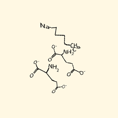 CCCC[CH2][Na].NC(CCC(=O)[O-])C(=O)[O-].NC(CCC(=O)[O-])C(=O)[O-].[C+4]